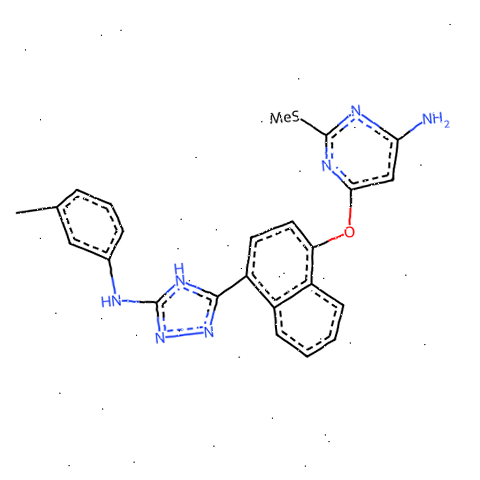 CSc1nc(N)cc(Oc2ccc(-c3nnc(Nc4cccc(C)c4)[nH]3)c3ccccc23)n1